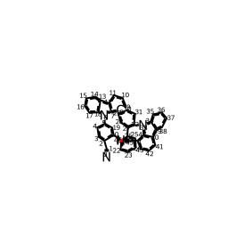 N#Cc1ccc(-n2c3ccccc3c3ccccc32)cc1-c1ccccc1-c1ccccc1-n1c2ccccc2c2cccc(C#N)c21